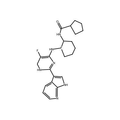 O=C(NC1CCCCP1NC1=C(F)CNC(c2c[nH]c3ncccc23)=N1)C1CCCC1